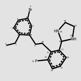 CCc1ccc(Br)cc1CCc1c(F)cccc1C1NCCN1